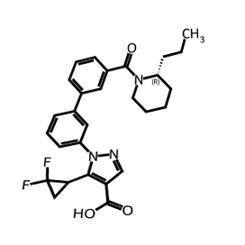 CCC[C@@H]1CCCCN1C(=O)c1cccc(-c2cccc(-n3ncc(C(=O)O)c3C3CC3(F)F)c2)c1